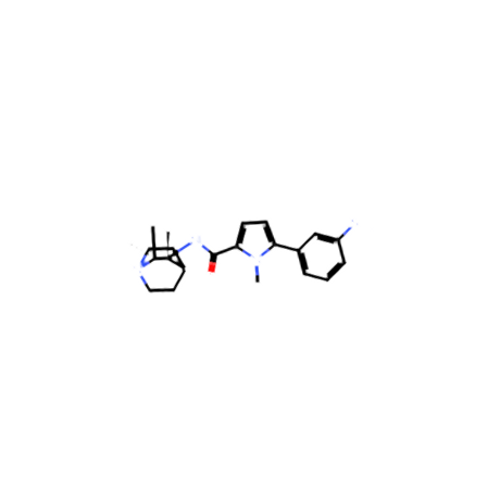 C[C@H]1[C@H](NC(=O)c2ccc(-c3cccc(N)c3)n2C)C2CCN1CC2